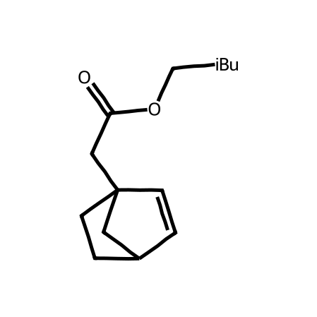 CCC(C)COC(=O)CC12C=CC(CC1)C2